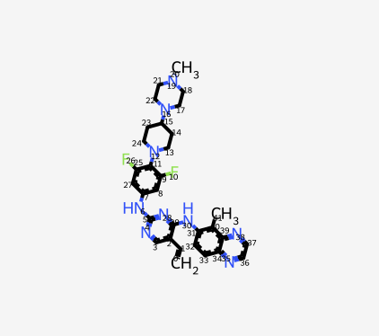 C=Cc1cnc(Nc2cc(F)c(N3CCC(N4CCN(C)CC4)CC3)c(F)c2)nc1Nc1ccc2nccnc2c1C